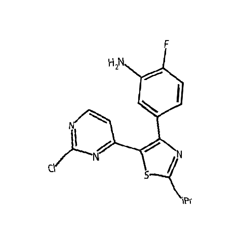 CC(C)c1nc(-c2ccc(F)c(N)c2)c(-c2ccnc(Cl)n2)s1